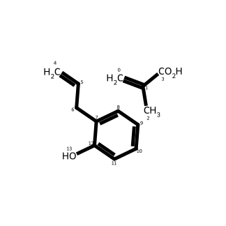 C=C(C)C(=O)O.C=CCc1ccccc1O